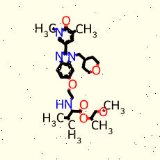 COCC(C)OC(=O)[C@@H](NCCOc1ccc2nc(-c3cc(C)c(=O)n(C)c3)n(CC3CCOCC3)c2c1)C(C)C